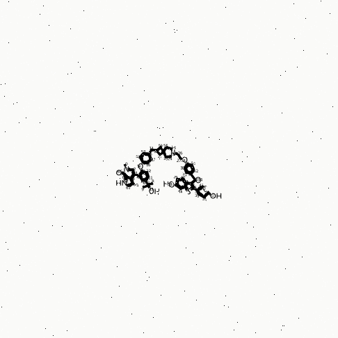 Cn1cc(-c2cc(C(C)(C)O)ccc2Oc2ccc(CC3CC4(CCN(CCOc5ccc(C(=O)c6c(-c7ccc(O)cc7)sc7cc(O)ccc67)cc5)CC4)C3)cc2)c2cc[nH]c2c1=O